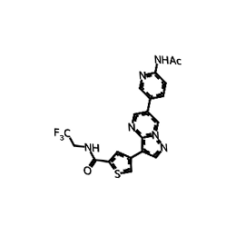 CC(=O)Nc1ccc(-c2cnc3c(-c4csc(C(=O)NCC(F)(F)F)c4)cnn3c2)cn1